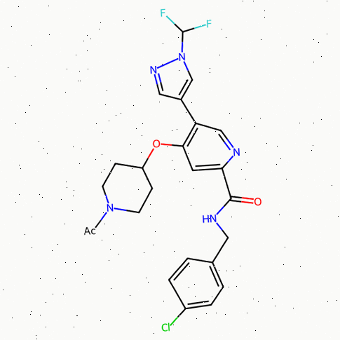 CC(=O)N1CCC(Oc2cc(C(=O)NCc3ccc(Cl)cc3)ncc2-c2cnn(C(F)F)c2)CC1